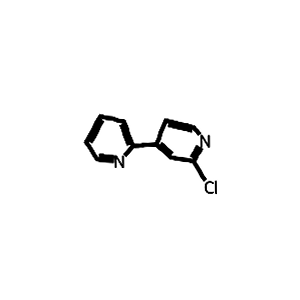 Clc1cc(-c2ccccn2)ccn1